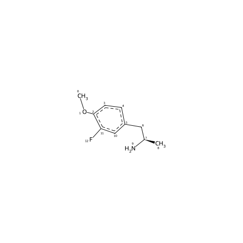 COc1ccc(C[C@@H](C)N)cc1F